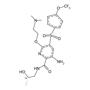 C[C@H](O)CNC(=O)c1nc(OCCN(C)C)c(S(=O)(=O)c2ccc(OC(F)(F)F)cc2)cc1N